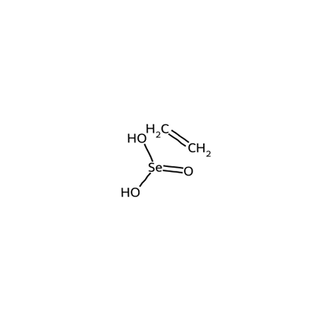 C=C.O=[Se](O)O